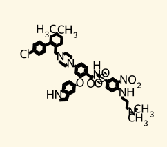 CN(C)CCCNc1ccc(S(=O)(=O)NC(=O)c2ccc(N3CCN(CC4=C(c5ccc(Cl)cc5)CC(C)(C)CC4)CC3)cc2Oc2ccc3[nH]ccc3c2)cc1[N+](=O)[O-]